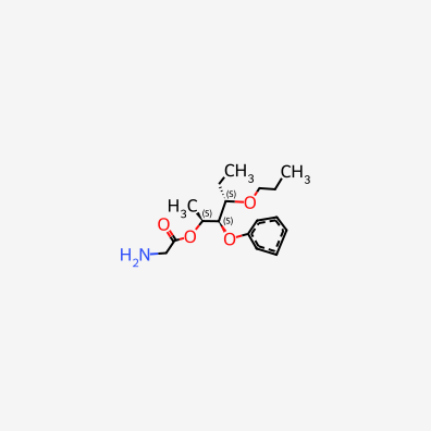 CCCO[C@@H](CC)[C@@H](Oc1ccccc1)[C@H](C)OC(=O)CN